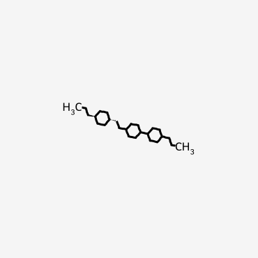 CCCC1CCC(C2CCC(CC[C@H]3CC[C@H](CCC)CC3)CC2)CC1